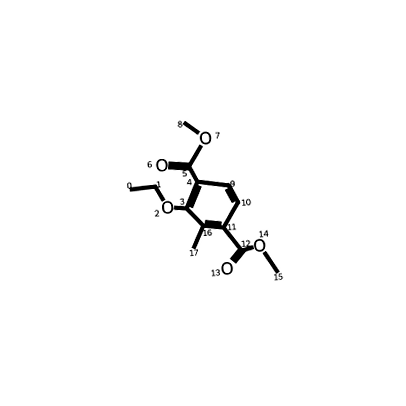 CCOc1c(C(=O)OC)ccc(C(=O)OC)c1C